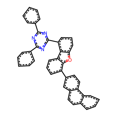 c1ccc(-c2nc(-c3ccccc3)nc(-c3cccc4oc5c(-c6ccc7c(ccc8ccccc87)c6)cccc5c34)n2)cc1